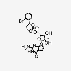 C[C@@]1(O)[C@H](O)[C@@H](CO[P@@]2(=O)OCC[C@@H](c3ccccc3Br)O2)O[C@H]1n1ccc2c(=O)[nH]c(N)nc21